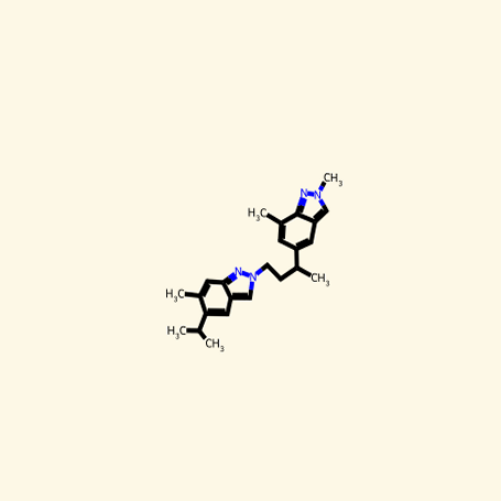 Cc1cc2nn(CCC(C)c3cc(C)c4nn(C)cc4c3)cc2cc1C(C)C